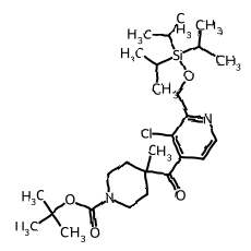 CC(C)[Si](OCc1nccc(C(=O)C2(C)CCN(C(=O)OC(C)(C)C)CC2)c1Cl)(C(C)C)C(C)C